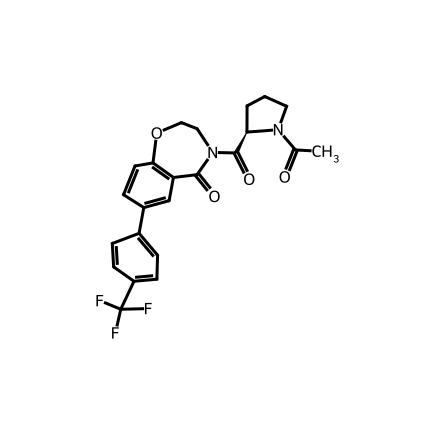 CC(=O)N1CCC[C@@H]1C(=O)N1CCOc2ccc(-c3ccc(C(F)(F)F)cc3)cc2C1=O